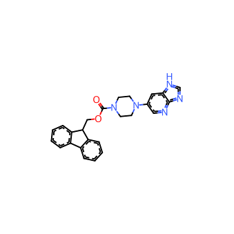 O=C(OCC1c2ccccc2-c2ccccc21)N1CCN(c2cnc3nc[nH]c3c2)CC1